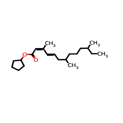 CCC(C)CCCC(C)CC=CC(C)=CC(=O)OC1CCCC1